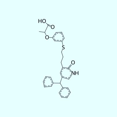 CC(Oc1cccc(SCCCc2cc(C(c3ccccc3)c3ccccc3)c[nH]c2=O)c1)C(=O)O